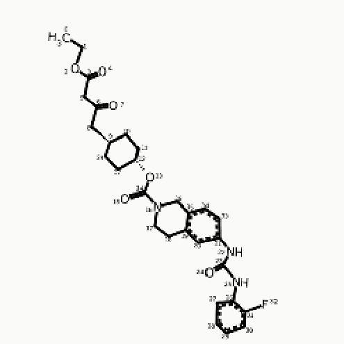 CCOC(=O)CC(=O)C[C@H]1CC[C@H](OC(=O)N2CCc3cc(NC(=O)Nc4ccccc4F)ccc3C2)CC1